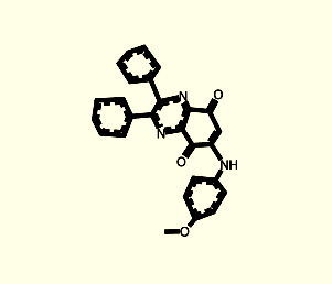 COc1ccc(NC2=CC(=O)c3nc(-c4ccccc4)c(-c4ccccc4)nc3C2=O)cc1